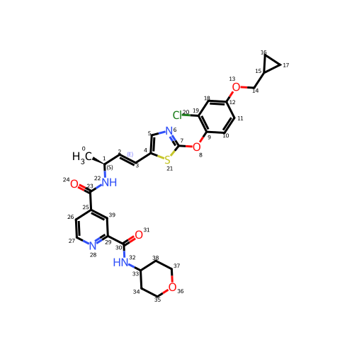 C[C@@H](/C=C/c1cnc(Oc2ccc(OCC3CC3)cc2Cl)s1)NC(=O)c1ccnc(C(=O)NC2CCOCC2)c1